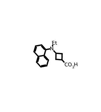 CCN(c1cccc2ccccc12)C1CC(C(=O)O)C1